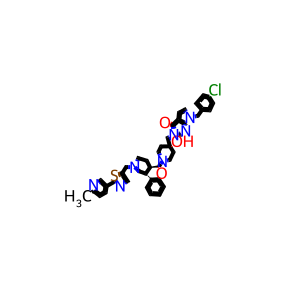 Cc1ccc(-c2ncc(CN3CC[C@@H](C(=O)N4CCC(O)(Cn5cnc6c(ccn6Cc6ccc(Cl)cc6)c5=O)CC4)[C@H](c4ccccc4)C3)s2)cn1